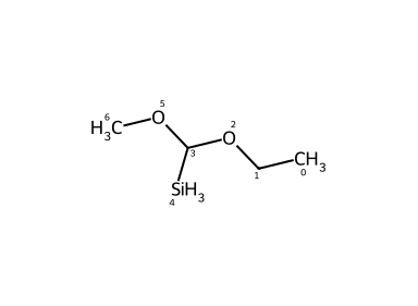 CCOC([SiH3])OC